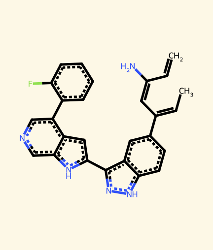 C=C/C(N)=C\C(=C/C)c1ccc2[nH]nc(-c3cc4c(-c5ccccc5F)cncc4[nH]3)c2c1